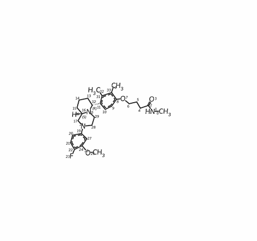 CNC(=O)CCCOc1ccc([C@H]2CCC[C@H]3CN(c4ccc(F)c(OC)c4)CCN32)c(C)c1C